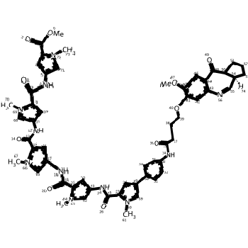 COC(=O)c1cc(NC(=O)c2cc(NC(=O)c3cc(NC(=O)c4cc(NC(=O)c5cc(-c6ccc(NC(=O)CCCOc7cc8c(cc7OC)C(=O)C7CCC[C@H]7C=N8)cc6)cn5C)cn4C)cn3C)cn2C)cn1C